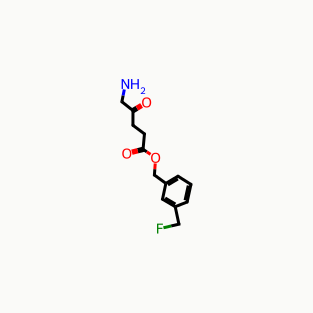 NCC(=O)CCC(=O)OCc1cccc(CF)c1